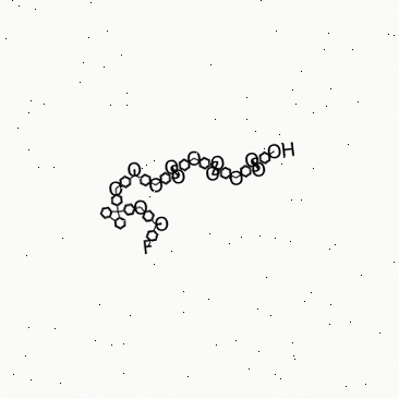 O=C(c1ccc(F)cc1)c1ccc(Oc2ccc(C3(c4ccc(Oc5ccc(C(=O)c6ccc(Oc7ccc(S(=O)(=O)c8ccc(Oc9ccc(S(=O)(=O)c%10ccc(Oc%11ccc(S(=O)(=O)c%12ccc(O)cc%12)cc%11)cc%10)cc9)cc8)cc7)cc6)cc5)cc4)c4ccccc4-c4ccccc43)cc2)cc1